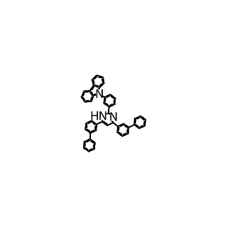 C1=C(c2cccc(-c3ccccc3)c2)NC(c2cccc(-n3c4ccccc4c4ccccc43)c2)N=C1c1cccc(-c2ccccc2)c1